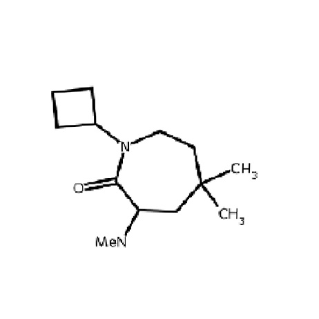 CNC1CC(C)(C)CCN(C2CCC2)C1=O